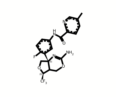 Cc1ccc(C(=O)Nc2ccc(F)c([C@]34CO[C@H](C(F)(F)F)C3COC(N)=N4)c2)nc1